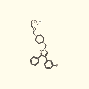 O=C(O)COC[C@H]1CC[C@@H](Cn2cc(-c3cccc(F)c3)c(-c3ccccc3)n2)CC1